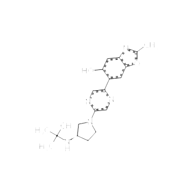 Cc1nc2cc(O)c(-c3cnc(N4CC[C@@H](NC(C)(C)C)C4)cn3)cc2o1